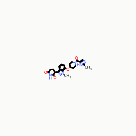 Cc1ncc(C(=O)N2CCC(Oc3cccc4c(C5CCC(=O)NC5=O)nn(C)c34)CC2)[nH]1